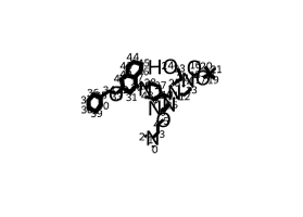 CN(C)CCOc1nc2c(c(N3CCN(C(=O)OC(C)(C)C)C(CO)C3)n1)CCN(c1cc(OCc3ccccc3)cc3ccccc13)C2